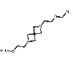 CCOCCN1CC2(CN(CCOC)C2)C1